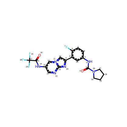 O=C(Nc1ccc(F)c(-c2cn3cc(NC(=O)C(F)(F)F)cnc3n2)c1)N1CCCC1